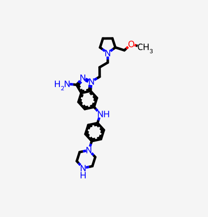 COCC1CCCN1CCCn1nc(N)c2ccc(Nc3ccc(N4CCNCC4)cc3)cc21